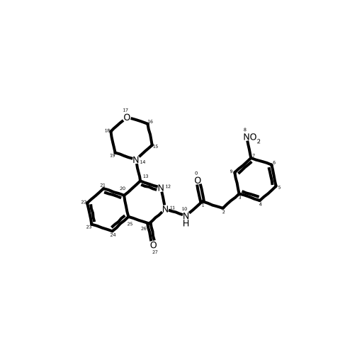 O=C(Cc1cccc([N+](=O)[O-])c1)Nn1nc(N2CCOCC2)c2ccccc2c1=O